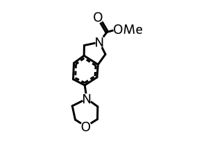 COC(=O)N1Cc2ccc(N3CCOCC3)cc2C1